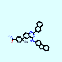 CC(C)(C)C1(c2ccc3nc(-c4ccc5ccccc5c4)nc(Nc4ccc5c(c4)Cc4ccccc4-5)c3c2)C=CC(C(N)=O)=CC1